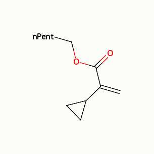 C=C(C(=O)OCCCCCC)C1CC1